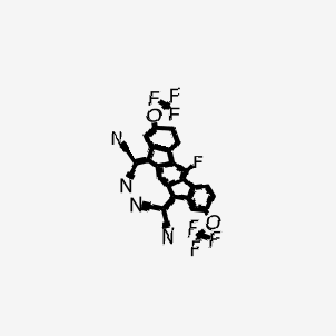 N#CC(C#N)=C1C2=C(CCC(OC(F)(F)F)=C2)c2c1cc1c(c2F)-c2ccc(OC(F)(F)F)cc2C1=C(C#N)C#N